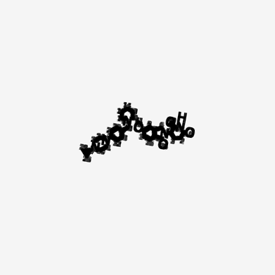 O=C1CCC(N2Cc3cc(OC[C@H]4CCCCN4Cc4ccc(N5CCN(C6CC6)CC5)cc4)ccc3C2=O)C(=O)N1